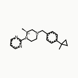 C[C@H]1CN(Cc2ccc(C3(C)CC3)cc2)CCN1c1ncccn1